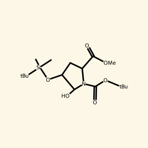 COC(=O)C1CC(O[Si](C)(C)C(C)(C)C)C(O)N1C(=O)OC(C)(C)C